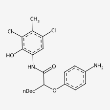 CCCCCCCCCCC(Oc1ccc(N)cc1)C(=O)Nc1cc(Cl)c(C)c(Cl)c1O